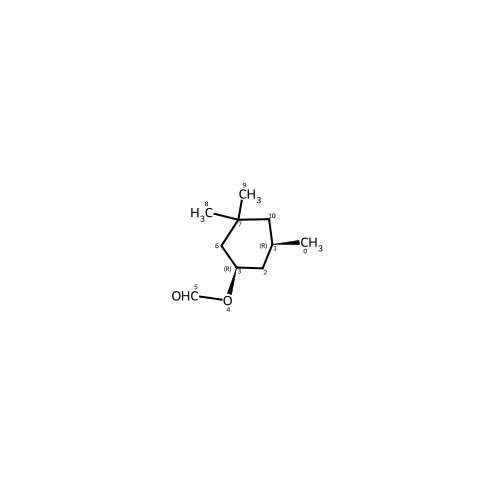 C[C@H]1C[C@@H](OC=O)CC(C)(C)C1